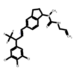 C=CCNC(=S)N(C)C1CCc2cc(/C=C/C(c3cc(Cl)c(Cl)c(Cl)c3)C(F)(F)F)ccc21